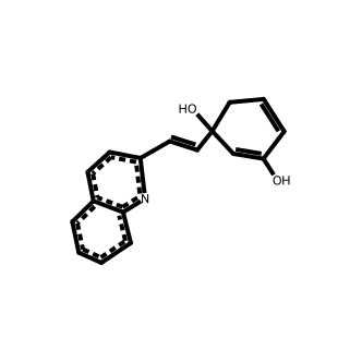 OC1=CC(O)(C=Cc2ccc3ccccc3n2)CC=C1